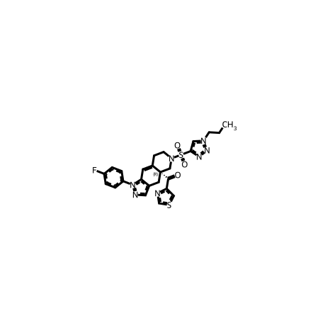 CCCn1cc(S(=O)(=O)N2CCC3=Cc4c(cnn4-c4ccc(F)cc4)C[C@]3(C(=O)c3cscn3)C2)nn1